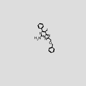 Nc1nc(-c2ccccc2)c(I)c2nc(COCc3ccccc3)nn12